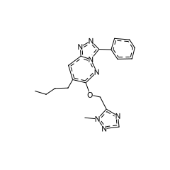 CCCCc1cc2nnc(-c3ccccc3)n2nc1OCc1ncnn1C